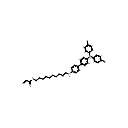 C=CC(=O)OCCCCCCCCCCOc1ccc(-c2ccc(N(c3ccc(C)cc3)c3ccc(C)cc3)cc2)cc1